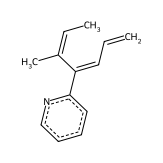 C=C/C=C(\C(C)=C/C)c1ccccn1